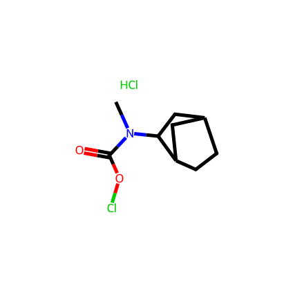 CN(C(=O)OCl)C1CC2CCC1C2.Cl